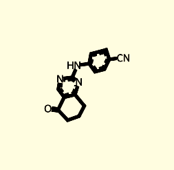 N#Cc1ccc(Nc2ncc3c(n2)CCCC3=O)cc1